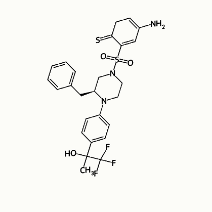 CC(O)(c1ccc(N2CCN(S(=O)(=O)C3=CC(N)=CCC3=S)C[C@@H]2Cc2ccccc2)cc1)C(F)(F)F